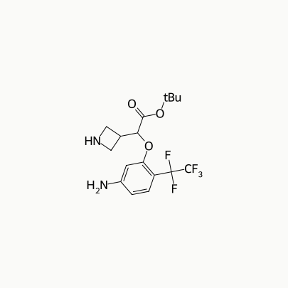 CC(C)(C)OC(=O)C(Oc1cc(N)ccc1C(F)(F)C(F)(F)F)C1CNC1